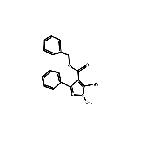 CCCc1c(C(=O)OCc2ccccc2)c(-c2ccccc2)nn1C